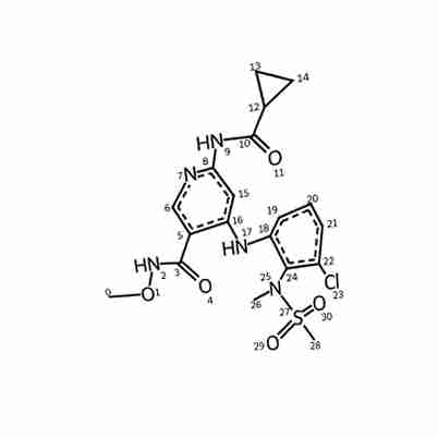 CONC(=O)c1cnc(NC(=O)C2CC2)cc1Nc1cccc(Cl)c1N(C)S(C)(=O)=O